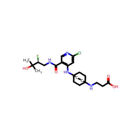 CC(C)(O)[C@@H](F)CNC(=O)c1cnc(Cl)cc1NC12CCC(NCCC(=O)O)(CC1)CC2